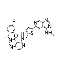 CC(c1ccc(F)cc1)n1cnc2ccnc(NCc3ccc(-c4cc5c(N)ncnc5cn4)s3)c2c1=O